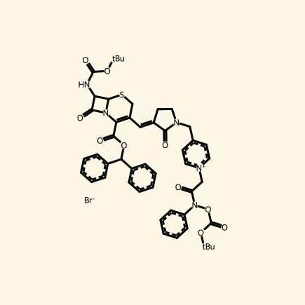 CC(C)(C)OC(=O)NC1C(=O)N2C(C(=O)OC(c3ccccc3)c3ccccc3)=C(C=C3CCN(Cc4cc[n+](CC(=O)N(OC(=O)OC(C)(C)C)c5ccccc5)cc4)C3=O)CSC12.[Br-]